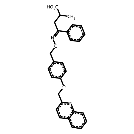 CC(CC(=NOCc1ccc(OCc2ccc3ccccc3n2)cc1)c1ccccc1)C(=O)O